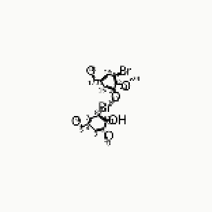 COc1cc(C=O)cc(Br)c1O.COc1cc(C=O)cc(Br)c1OC